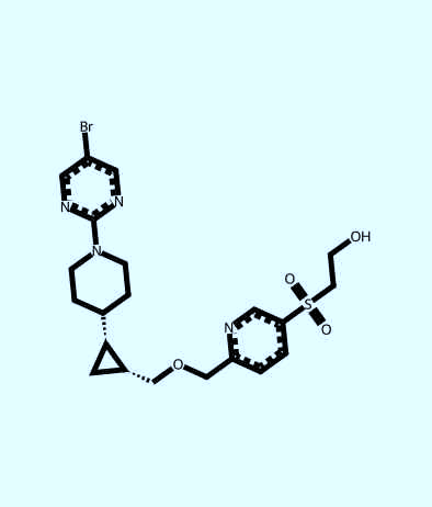 O=S(=O)(CCO)c1ccc(COC[C@@H]2C[C@@H]2C2CCN(c3ncc(Br)cn3)CC2)nc1